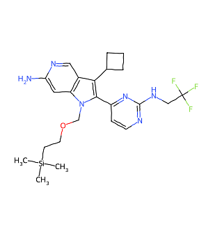 C[Si](C)(C)CCOCn1c(-c2ccnc(NCC(F)(F)F)n2)c(C2CCC2)c2cnc(N)cc21